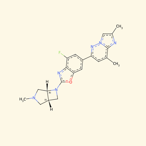 Cc1cn2nc(-c3cc(F)c4nc(N5C[C@@H]6CN(C)C[C@@H]65)oc4c3)cc(C)c2n1